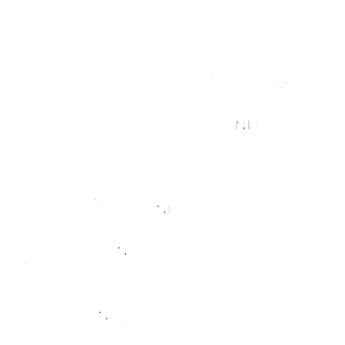 CC(C)(C)OC(=O)NCCCNC(=S)Nc1cscc1N